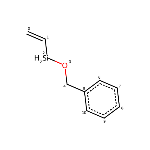 C=C[SiH2]OCc1ccccc1